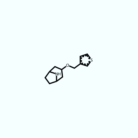 c1cc(COC2CC3CCC(C2)N3)cs1